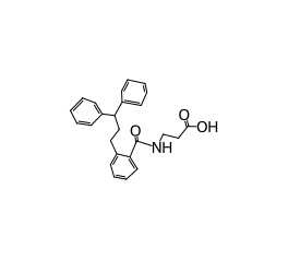 O=C(O)CCNC(=O)c1ccccc1CCC(c1ccccc1)c1ccccc1